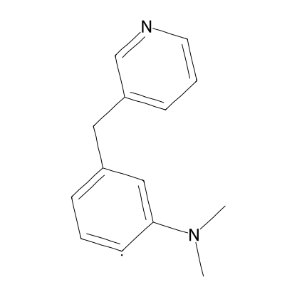 CN(C)c1[c]ccc(Cc2cccnc2)c1